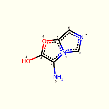 Nc1c(O)oc2cncn12